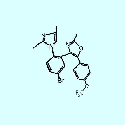 Cc1cn(-c2ccc(Br)cc2-c2nc(C)oc2-c2ccc(OC(F)(F)F)cc2)c(C)n1